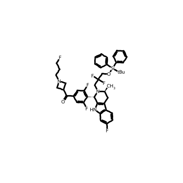 C[C@H]1Cc2c([nH]c3cc(F)ccc23)[C@H](c2c(F)cc(C(=O)C3CN(CCCF)C3)cc2F)N1CC(F)(F)CO[Si](c1ccccc1)(c1ccccc1)C(C)(C)C